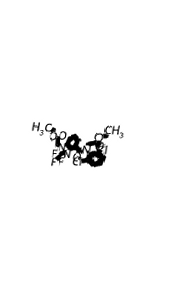 CCOC(=O)CN(C(=O)c1cccc2c1nc(C(F)(F)F)n2CC(=O)OCC)c1c(Cl)cccc1Cl